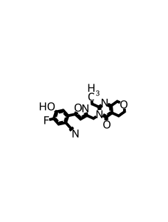 CCc1nc2c(c(=O)n1Cc1cc(-c3cc(O)c(F)cc3C#N)on1)CCOC2